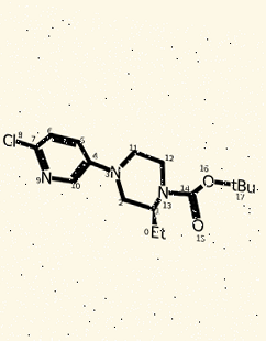 CC[C@H]1CN(c2ccc(Cl)nc2)CCN1C(=O)OC(C)(C)C